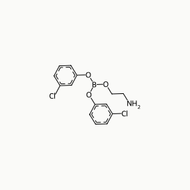 NCCOB(Oc1cccc(Cl)c1)Oc1cccc(Cl)c1